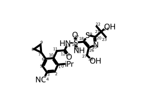 CC(C)c1cc(C#N)cc(C2CC2)c1CC(=O)N[S@@](=N)(=O)c1sc(C(C)(C)O)nc1CO